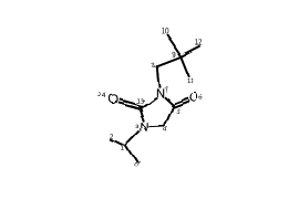 CC(C)N1CC(=O)N(CC(C)(C)C)C1=O